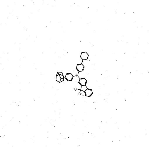 CC1(C)c2ccccc2-c2ccc(N(c3ccc(C4CCCCC4)cc3)c3ccc(C4C5CC6CC(C5)C4C6)cc3)cc21